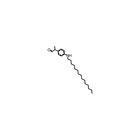 CCCCCCCCCCCCCCCNc1ccc(C(C)[C]=O)cc1